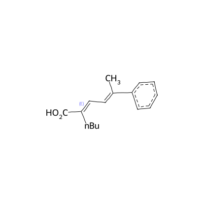 CCCC/C(=C\C=C(C)c1ccccc1)C(=O)O